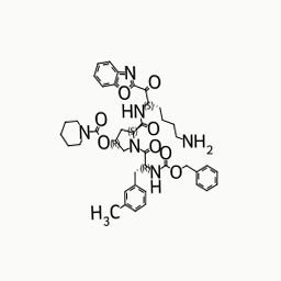 Cc1cccc(C[C@@H](NC(=O)OCc2ccccc2)C(=O)N2C[C@H](OC(=O)N3CCCCC3)C[C@H]2C(=O)N[C@@H](CCCCN)C(=O)c2nc3ccccc3o2)c1